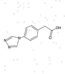 O=C(O)Cc1ccc(-n2cnnc2)cc1